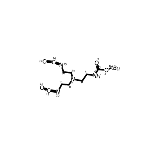 CC(C)(C)OC(=O)NCCN(CCN=C=O)CCN=C=O